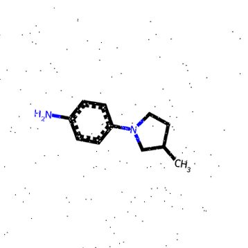 CC1CCN(c2ccc(N)cc2)C1